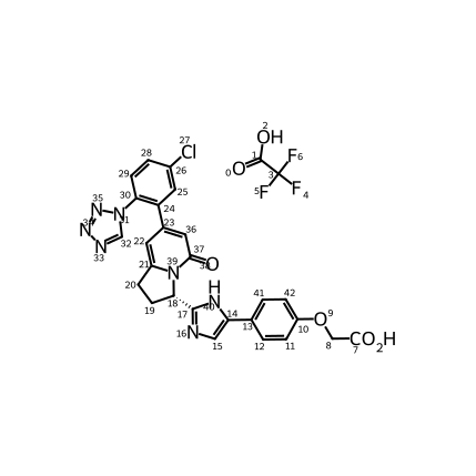 O=C(O)C(F)(F)F.O=C(O)COc1ccc(-c2cnc([C@@H]3CCc4cc(-c5cc(Cl)ccc5-n5cnnn5)cc(=O)n43)[nH]2)cc1